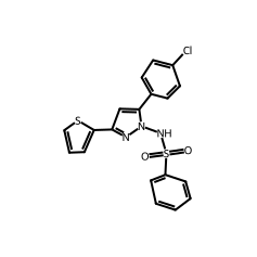 O=S(=O)(Nn1nc(-c2cccs2)cc1-c1ccc(Cl)cc1)c1ccccc1